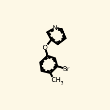 Cc1ccc(Oc2cccnc2)cc1Br